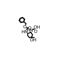 CC1(O)CCC(NC(=O)OCc2ccccc2)C(NC(=O)O)C1